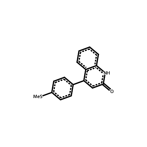 CSc1ccc(-c2cc(=O)[nH]c3ccccc23)cc1